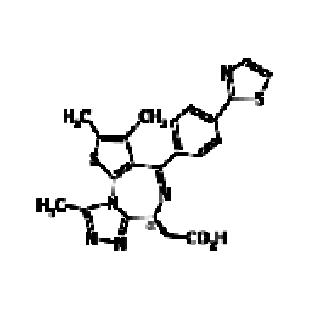 Cc1sc2c(c1C)C(c1ccc(-c3nccs3)cc1)=N[C@@H](CC(=O)O)c1nnc(C)n1-2